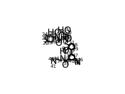 COc1c(CN2O[C@@H](CO)C(CO)[C@H]2C(=O)N[C@H]2CCC(C)(C)[C@@H](C)[C@@H]2C)cccc1-c1cc(C(=O)NCCN(C)C)cc(N(C)C)c1